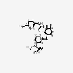 Cc1ccc(NC(=O)Nc2cc(CN3CCCC(N(C)C(=O)C(C)C)C3)ccc2F)cn1